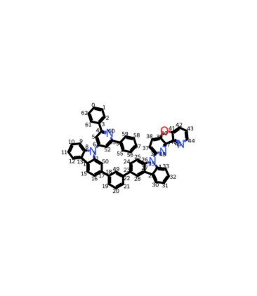 c1ccc(-c2cc(-n3c4ccccc4c4ccc(-c5cccc(-c6ccc7c(c6)c6ccccc6n7-c6ccc7oc8cccnc8c7n6)c5)cc43)cc(-c3ccccc3)n2)cc1